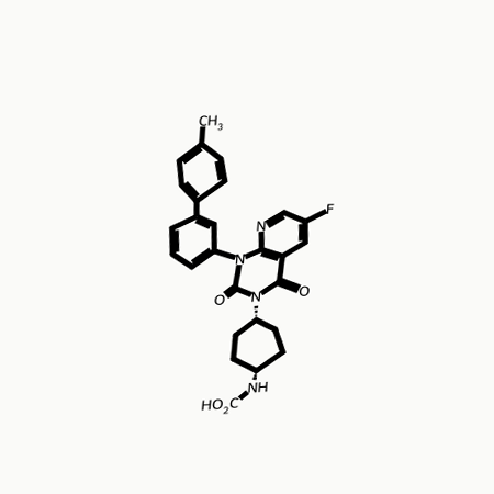 Cc1ccc(-c2cccc(-n3c(=O)n([C@H]4CC[C@@H](NC(=O)O)CC4)c(=O)c4cc(F)cnc43)c2)cc1